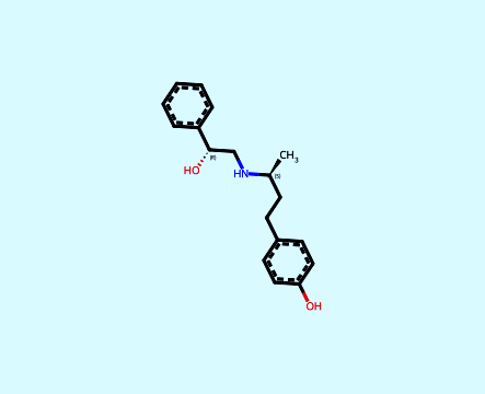 C[C@@H](CCc1ccc(O)cc1)NC[C@H](O)c1ccccc1